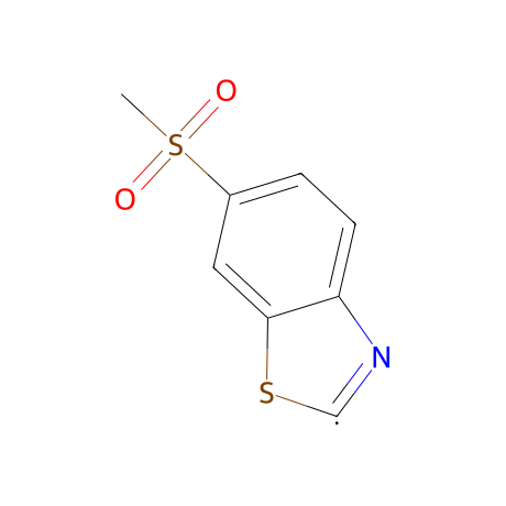 CS(=O)(=O)c1ccc2n[c]sc2c1